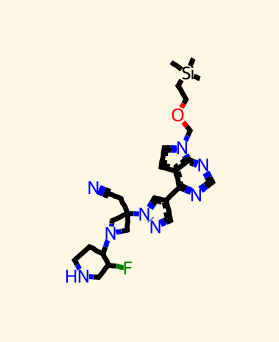 C[Si](C)(C)CCOCn1ccc2c(-c3cnn(C4(CC#N)CN(C5CCNCC5F)C4)c3)ncnc21